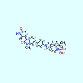 Cn1c(=O)n(C2CCC(=O)NC2=O)c2ccc(-c3ccc(N4CCC5(CC4)CCN(C(=O)O)C(C(C)(C)C)C5)cc3)cc21